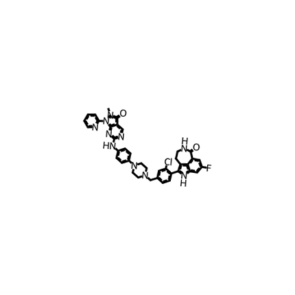 Cn1c(=O)c2cnc(Nc3ccc(N4CCN(Cc5ccc(-c6[nH]c7cc(F)cc8c7c6CCNC8=O)c(Cl)c5)CC4)cc3)nc2n1-c1ccccn1